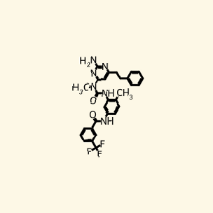 Cc1ccc(NC(=O)c2cccc(C(F)(F)F)c2)cc1NC(=O)N(C)c1cc(CCc2ccccc2)nc(N)n1